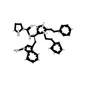 Nn1cc(C[C@@H](NC(=O)[C@@H]2CCCN2)c2nnc(CCc3ccccc3)n2CCc2ccccc2)c2ccccc21